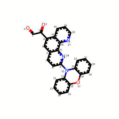 O=CC(=O)c1cc2ccc(N3c4ccccc4Oc4ccccc43)nc2c2ncccc12